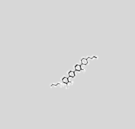 C=CCCC1CCC(c2ccc(-c3ccc(-c4ccc(OCCCC)c(F)c4F)cc3)cc2F)CC1